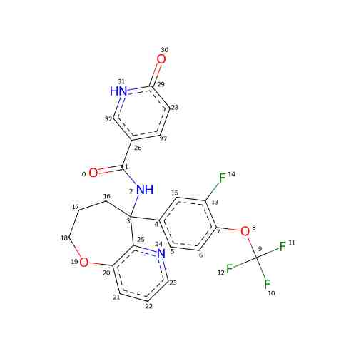 O=C(NC1(c2ccc(OC(F)(F)F)c(F)c2)CCCOc2cccnc21)c1ccc(=O)[nH]c1